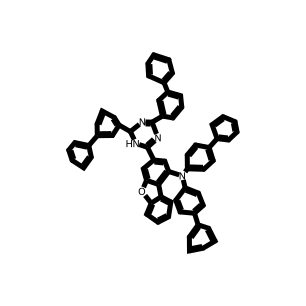 c1ccc(-c2ccc(N(c3ccc(-c4ccccc4)cc3)c3cc(C4=NC(c5cccc(-c6ccccc6)c5)=NC(c5cccc(-c6ccccc6)c5)N4)cc4oc5ccccc5c34)cc2)cc1